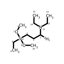 [2H]C(CC[Si](CC)(OC)OC)N(CC)CC